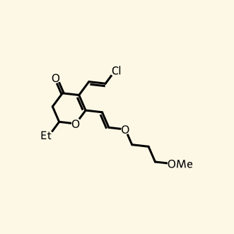 CCC1CC(=O)C(/C=C/Cl)=C(/C=C/OCCCOC)O1